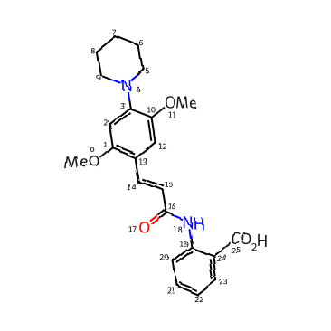 COc1cc(N2CCCCC2)c(OC)cc1/C=C/C(=O)Nc1ccccc1C(=O)O